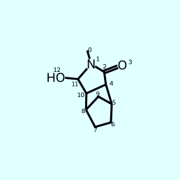 CN1C(=O)C2C3CCC(C3)C2C1O